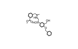 COC(=O)c1cccc(C[C@@H](C)NC[C@H](O)c2ccc(OCc3ccccc3)c(CO)c2)c1